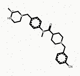 C[C@H]1CN(Cc2ccc(N(C)C(=O)C3CCN(Cc4cccc(C#N)c4)CC3)cc2)CCN1